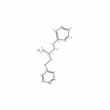 NC(CCc1ccncc1)CCc1ccncc1